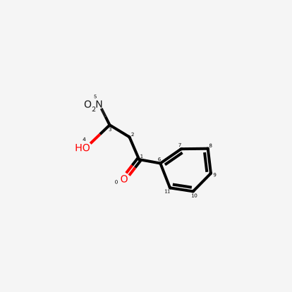 O=C(CC(O)[N+](=O)[O-])c1ccccc1